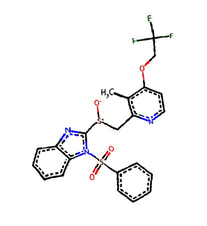 Cc1c(OCC(F)(F)F)ccnc1C[S+]([O-])c1nc2ccccc2n1S(=O)(=O)c1ccccc1